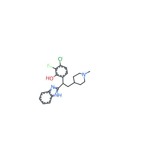 CN1CCC(CC(c2nc3ccccc3[nH]2)c2ccc(Cl)c(F)c2O)CC1